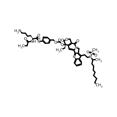 CCCCCCCCC(C)N(CCc1c2c(nc3ccccc13)-c1cc3c(c(=O)n1C2)COC(=O)[C@@]3(CC)OC(=O)OCc1ccc(NC(=O)[C@H](CCCCN)NC(=O)CC)cc1)S(C)(=O)=O